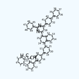 CC1(C)c2ccccc2-c2cccc(-c3ccc(-c4cccc(-c5ccc(-c6cc(-c7ccc(-c8ccccc8)cc7)nc(-c7ccccc7)n6)c6ccccc56)c4)cc3)c21